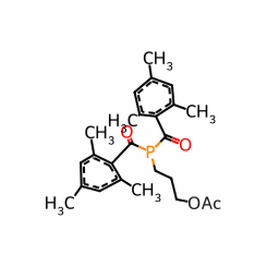 CC(=O)OCCCP(C(=O)c1c(C)cc(C)cc1C)C(=O)c1c(C)cc(C)cc1C